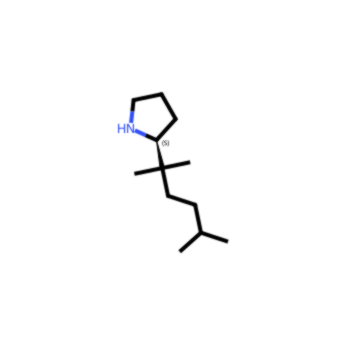 CC(C)CCC(C)(C)[C@@H]1CCCN1